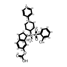 C[N+](C1CCN(c2ccncc2)CC1)([C@@H]1CCc2ccc(OC(=O)O)cc21)S(=O)(=O)c1ccccc1Cl